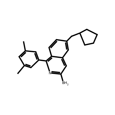 Bc1cc2cc(CC3CCCC3)ccc2c(-c2cc(C)cc(C)c2)n1